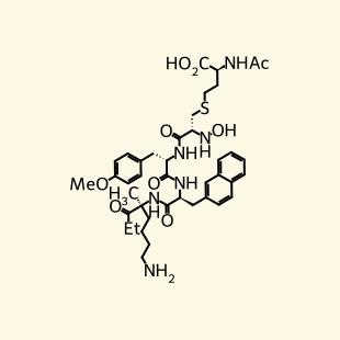 CCC(=O)[C@](C)(CCCCN)NC(=O)[C@H](Cc1ccc2ccccc2c1)NC(=O)[C@H](Cc1ccc(OC)cc1)NC(=O)[C@H](CSCC[C@H](NC(C)=O)C(=O)O)NO